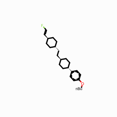 CCCCOc1ccc([C@H]2CC[C@H](CC[C@H]3CC[C@H](C=CF)CC3)CC2)cc1